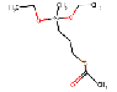 CCO[Si](C)(CCCSC(C)=O)OCC